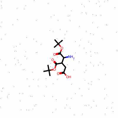 CC(C)(C)OC(=O)C(N)C(CC(=O)O)C(=O)OC(C)(C)C